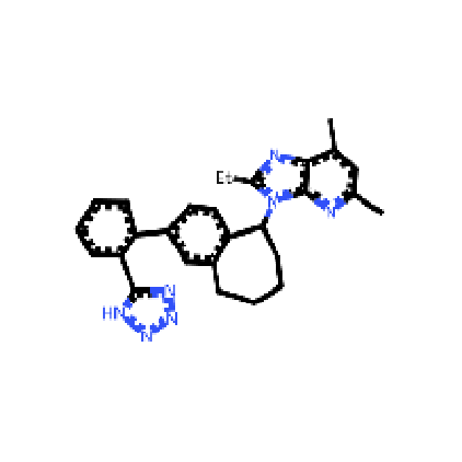 CCc1nc2c(C)cc(C)nc2n1C1CCCCc2cc(-c3ccccc3-c3nnn[nH]3)ccc21